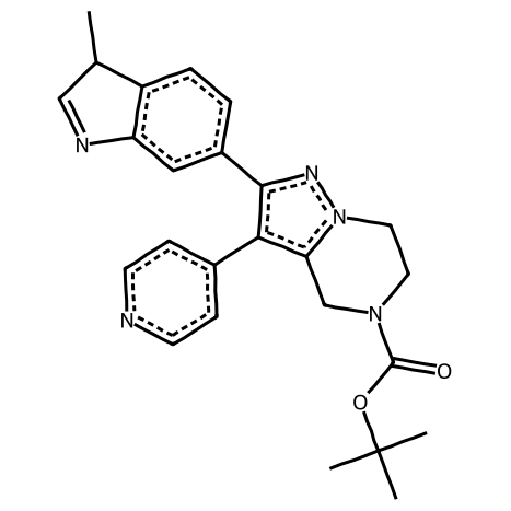 CC1C=Nc2cc(-c3nn4c(c3-c3ccncc3)CN(C(=O)OC(C)(C)C)CC4)ccc21